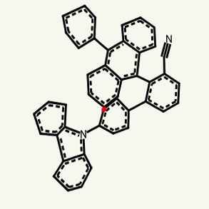 N#Cc1cccc(-c2ccc(-n3c4ccccc4c4ccccc43)cc2)c1-c1c2ccccc2c(-c2ccccc2)c2ccccc12